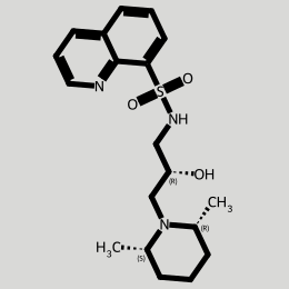 C[C@@H]1CCC[C@H](C)N1C[C@@H](O)CNS(=O)(=O)c1cccc2cccnc12